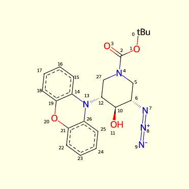 CC(C)(C)OC(=O)N1C[C@H](N=[N+]=[N-])[C@@H](O)[C@H](N2c3ccccc3Oc3ccccc32)C1